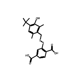 Cc1cc(C(C)(C)C)c(O)c(C)c1CSSc1cc(C(=O)O)ccc1C(=O)O